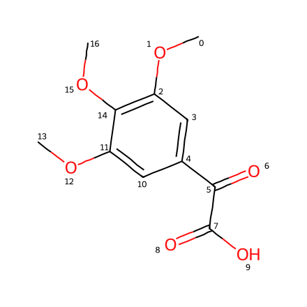 COc1cc(C(=O)C(=O)O)cc(OC)c1OC